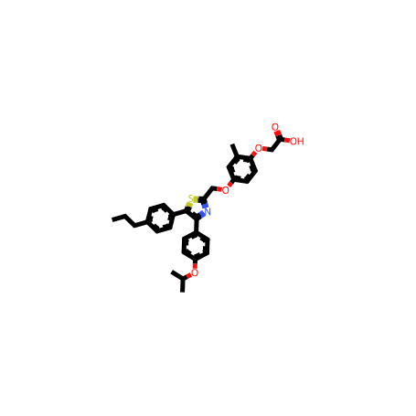 CCCc1ccc(-c2sc(COc3ccc(OCC(=O)O)c(C)c3)nc2-c2ccc(OC(C)C)cc2)cc1